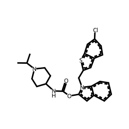 CC(C)N1CCC(NC(=O)Oc2cc3ccccc3n2Cc2cc3ccc(Cl)cc3s2)CC1